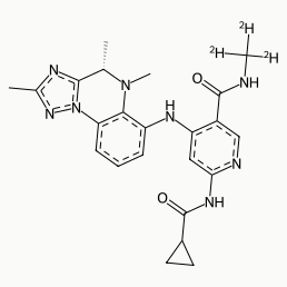 [2H]C([2H])([2H])NC(=O)c1cnc(NC(=O)C2CC2)cc1Nc1cccc2c1N(C)[C@@H](C)c1nc(C)nn1-2